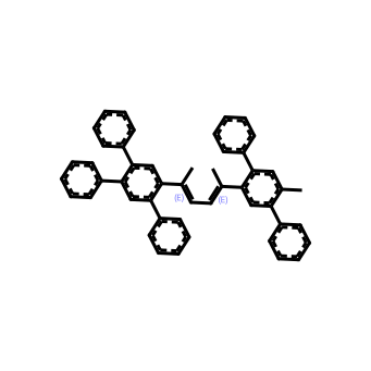 C/C(=C\C=C(/C)c1cc(-c2ccccc2)c(-c2ccccc2)cc1-c1ccccc1)c1cc(-c2ccccc2)c(C)cc1-c1ccccc1